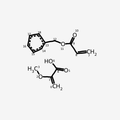 C=C(OC)C(=O)O.C=CC(=O)OCc1ccccc1